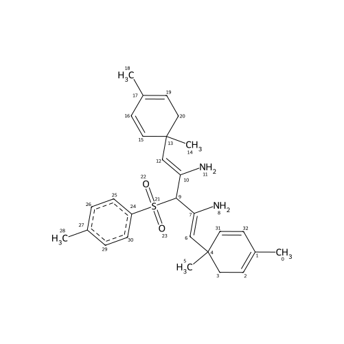 CC1=CCC(C)(C=C(N)C(C(N)=CC2(C)C=CC(C)=CC2)S(=O)(=O)c2ccc(C)cc2)C=C1